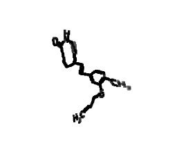 C=CCSc1cc(C=CC2=NNC(=O)CC2)ccc1C